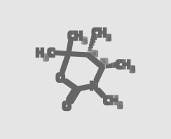 C[C@@H]1[C@H](C)N(C)C(=O)OC1(C)C